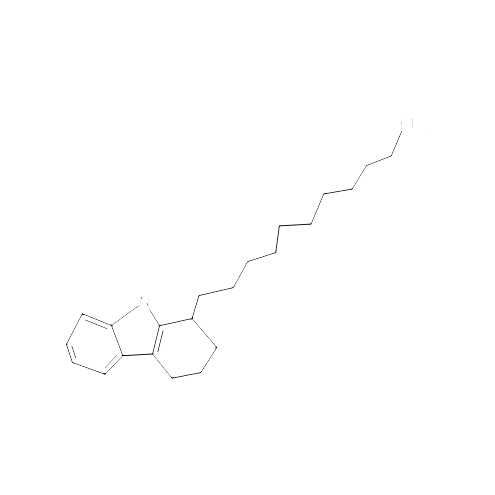 CCCCCCCCCCCC1CCCC2=C1[N]c1ccccc12